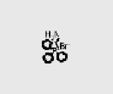 NCCC[P+](c1ccccc1)(c1ccccc1)c1ccccc1.[Br-]